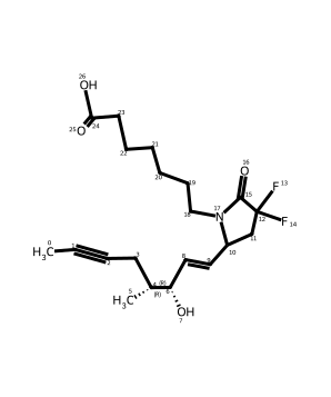 CC#CC[C@@H](C)[C@@H](O)C=CC1CC(F)(F)C(=O)N1CCCCCCC(=O)O